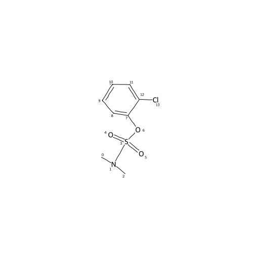 CN(C)S(=O)(=O)Oc1cc[c]cc1Cl